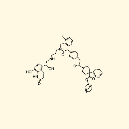 Cc1ccccc1CN(CCCNCC(O)c1ccc(O)c2[nH]c(=O)ccc12)C(=O)Cc1ccc(CC(=O)N2CCC(C(=O)OC3CN4CCC3CC4)(c3ccccc3)CC2)cc1